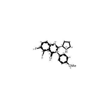 COc1ccc(-n2c([C@H]3CCCN3)nc3ccc(F)c(F)c3c2=O)cc1